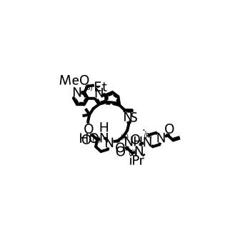 C=CC(=O)N1CCN(C(=O)N(C)[C@H](C(=O)N[C@H]2Cc3nc(cs3)-c3ccc4c(c3)c(c(-c3cccnc3[C@H](C)OC)n4CC)CC(C)(C)COC(=O)[C@@]3(O)CCCN(N3)C2=O)C(C)C)[C@H](C)C1